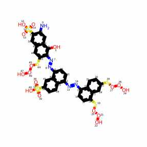 Nc1cc2c(O)c(N=Nc3ccc(N=Nc4ccc(SOOO)c5cc(SOOO)ccc45)c4ccc(S(=O)(=O)O)cc34)c(SOOO)cc2cc1S(=O)(=O)O